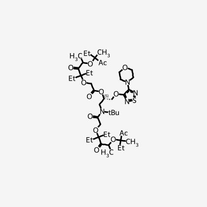 CCC(C)(OC(C)C(=O)C(CC)(CC)OCC(=O)O[C@H](COc1nsnc1N1CCOCC1)CN(C(=O)COC(CC)(CC)C(=O)C(C)OC(C)(CC)C(C)=O)C(C)(C)C)C(C)=O